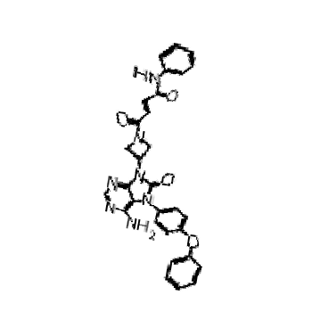 Nc1ncnc2c1n(-c1ccc(Oc3ccccc3)cc1)c(=O)n2C1CN(C(=O)/C=C/C(=O)Nc2ccccc2)C1